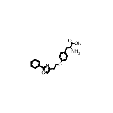 N[C@@H](Cc1ccc(OCCc2coc(-c3ccccc3)n2)cc1)C(=O)O